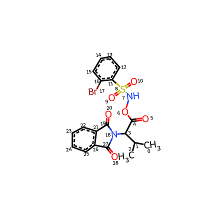 CC(C)C(C(=O)ONS(=O)(=O)c1ccccc1Br)N1C(=O)c2ccccc2C1=O